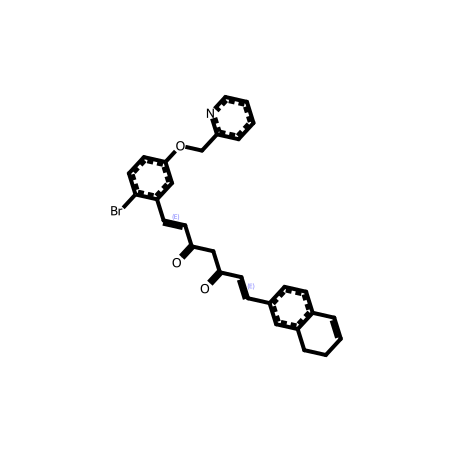 O=C(/C=C/c1ccc2c(c1)CCC=C2)CC(=O)/C=C/c1cc(OCc2ccccn2)ccc1Br